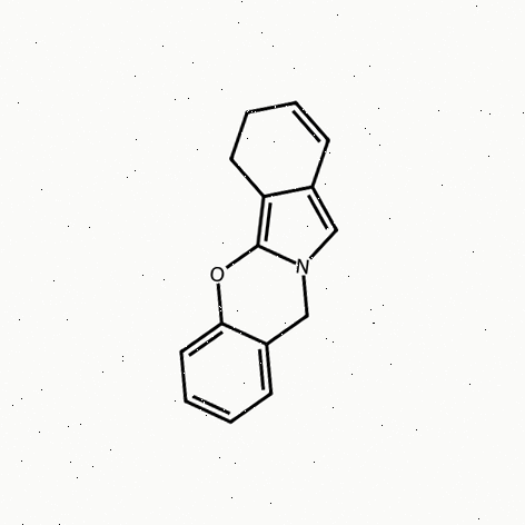 C1=Cc2cn3c(c2CC1)Oc1ccccc1C3